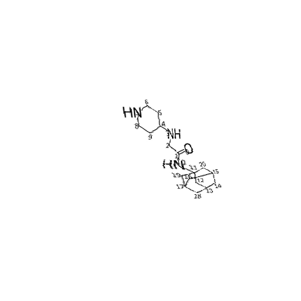 O=C(CNC1CCNCC1)NC12CC3CC(CC(C3)C1)C2